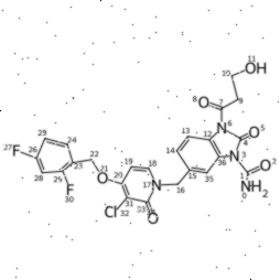 NC(=O)n1c(=O)n(C(=O)CCO)c2ccc(Cn3ccc(OCc4ccc(F)cc4F)c(Cl)c3=O)cc21